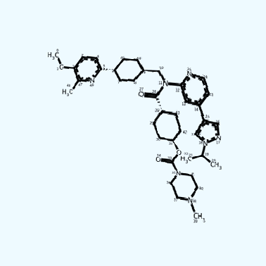 COc1ccc([C@H]2CC[C@H](CN(c3cc(-c4cnn(C(C)C)c4)ccn3)C(=O)[C@H]3CC[C@H](OC(=O)N4CCN(C)CC4)CC3)CC2)nc1C